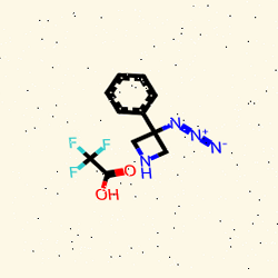 O=C(O)C(F)(F)F.[N-]=[N+]=NC1(c2ccccc2)CNC1